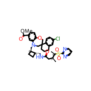 COC(=O)c1ccc2c(c1)N(C[C@@H]1CC[C@H]1CNC(=O)C[C@H](C)[C@@H](C)S(=O)(=O)c1ncccn1)CC1(CCCc3cc(Cl)ccc31)CO2